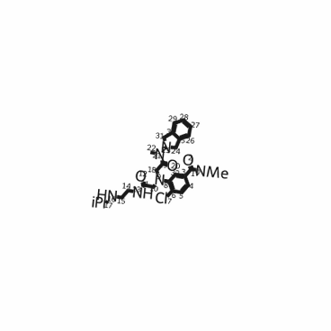 CNC(=O)c1ccc(Cl)c(N(CC(=O)NCCNC(C)C)CC(=O)N(C)N2Cc3ccccc3C2)c1